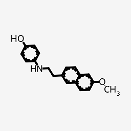 COc1ccc2cc(CCNc3ccc(O)cc3)ccc2c1